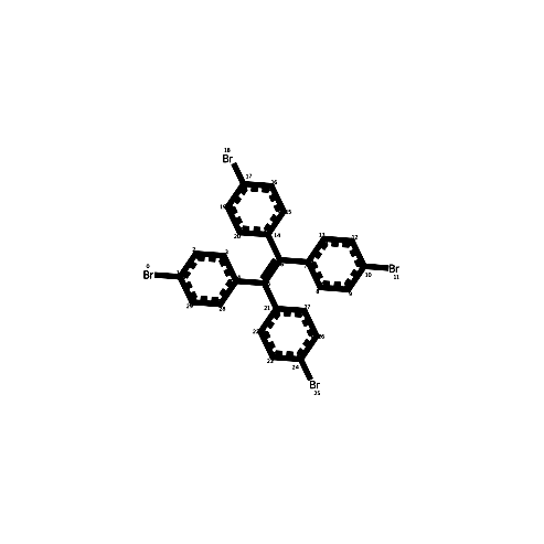 Brc1ccc(C(=C(c2ccc(Br)cc2)c2ccc(Br)cc2)c2ccc(Br)cc2)cc1